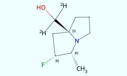 [2H]C([2H])(O)[C@@]12CCCN1[C@H](C)[C@H](F)C2